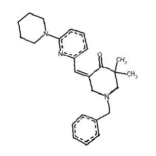 CC1(C)CN(Cc2ccccc2)CC(=Cc2cccc(N3CCCCC3)n2)C1=O